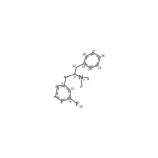 CN(C)C([CH]c1cccc(F)c1)Cc1ccccc1